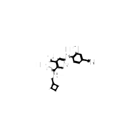 CC(C)c1cc(Nc2ccc(C#N)cc2Cl)ncc1C(=O)NCC1CCC1